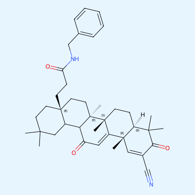 CC1(C)CC[C@]2(CCC(=O)NCc3ccccc3)CC[C@]3(C)C(C(=O)C=C4[C@@]5(C)C=C(C#N)C(=O)C(C)(C)[C@@H]5CC[C@]43C)C2C1